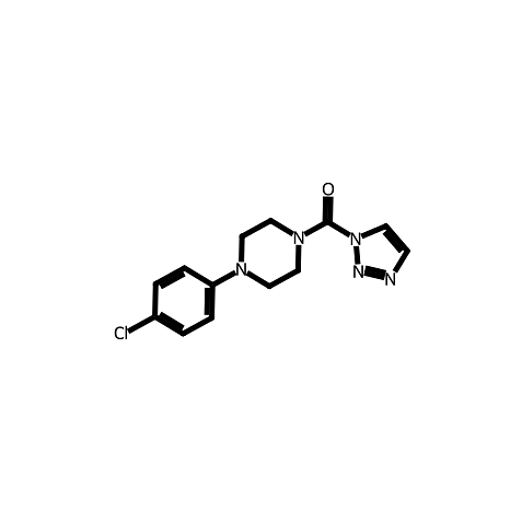 O=C(N1CCN(c2ccc(Cl)cc2)CC1)n1ccnn1